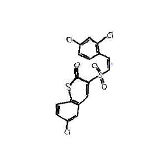 O=c1sc2ccc(Cl)cc2cc1S(=O)(=O)/C=C\c1ccc(Cl)cc1Cl